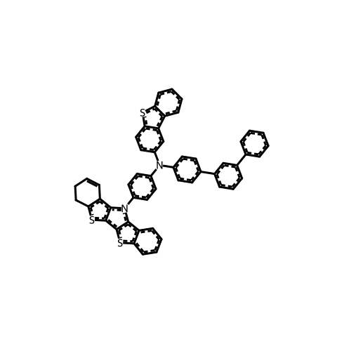 C1=Cc2c(sc3c4sc5ccccc5c4n(-c4ccc(N(c5ccc(-c6cccc(-c7ccccc7)c6)cc5)c5ccc6sc7ccccc7c6c5)cc4)c23)CC1